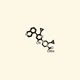 COC(=O)N1CCN(c2nc(C3CC3)c(-c3cccc4cnccc34)cc2C#N)CC1C1CC1